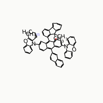 C/C=C\C1=C(C)Oc2ccccc2N1c1ccc2c(-c3ccc4ccccc4c3)c3cc(N4c5ccccc5Oc5ccccc54)ccc3c(-c3cccc4c3C(C)(C)c3ccccc3-4)c2c1